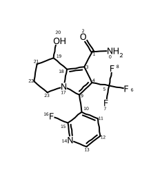 NC(=O)c1c(C(F)(F)F)c(-c2cccnc2F)n2c1C(O)CCC2